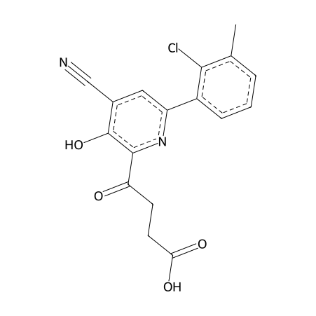 Cc1cccc(-c2cc(C#N)c(O)c(C(=O)CCC(=O)O)n2)c1Cl